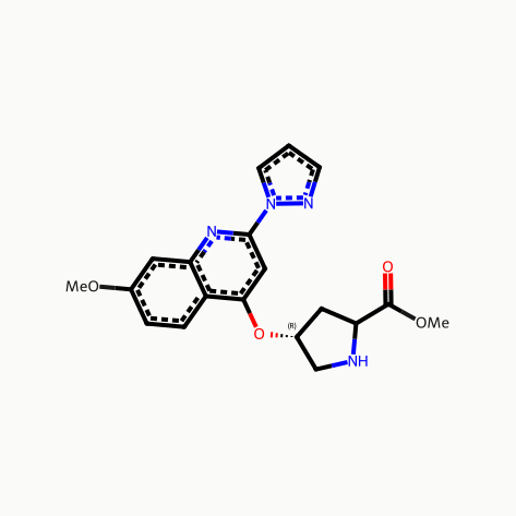 COC(=O)C1C[C@@H](Oc2cc(-n3cccn3)nc3cc(OC)ccc23)CN1